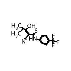 CC(C)/C(O)=C(\C#N)C(=S)Nc1ccc(C(F)(F)F)cc1